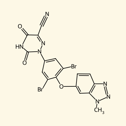 Cn1nnc2ccc(Oc3c(Br)cc(-n4nc(C#N)c(=O)[nH]c4=O)cc3Br)cc21